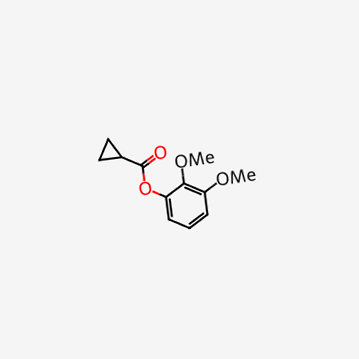 COc1cccc(OC(=O)C2CC2)c1OC